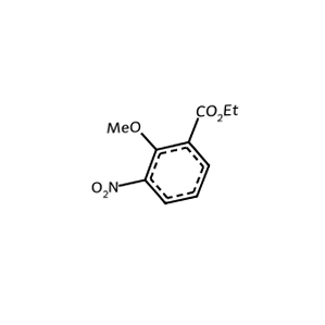 CCOC(=O)c1cccc([N+](=O)[O-])c1OC